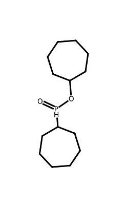 O=[PH](OC1CCCCCC1)C1CCCCCC1